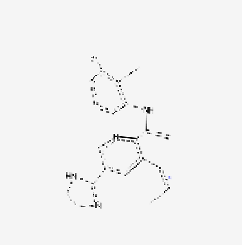 C=C(Nc1cccc(Br)c1C)c1ncc(C2=NCCN2)cc1/C=C\C